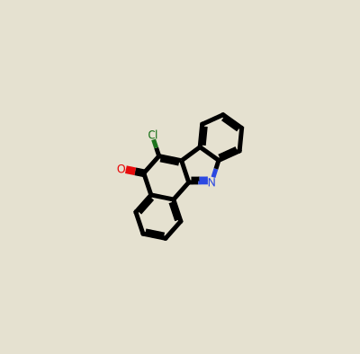 O=C1C(Cl)=C2C(=Nc3ccccc32)c2ccccc21